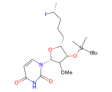 COC1C(O[Si](C)(C)C(C)(C)C)[C@@H](CCC[C@@H](C)I)O[C@H]1n1ccc(=O)[nH]c1=O